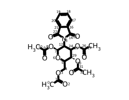 CC(=O)OCC1O[C@@H](OC(C)=O)C(N2C(=O)c3ccccc3C2=O)C(OC(C)=O)[C@@H]1OC(C)=O